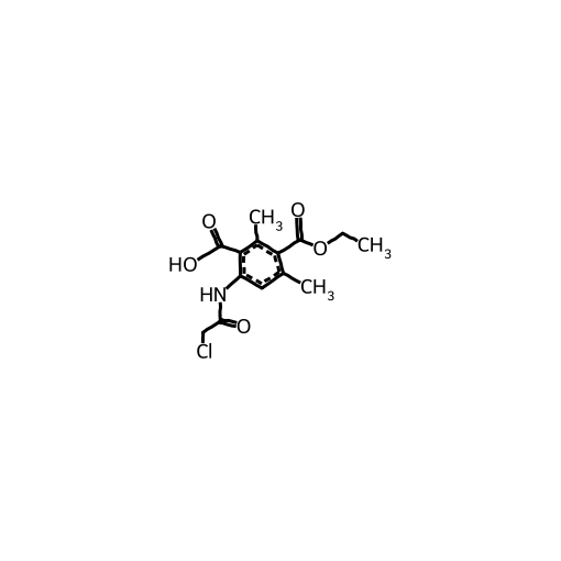 CCOC(=O)c1c(C)cc(NC(=O)CCl)c(C(=O)O)c1C